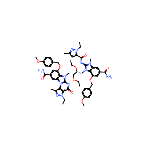 CCO[C@H](Cn1/c(=N/C(=O)c2cc(C)nn2CC)n(C)c2cc(C(N)=O)cc(OCc3ccc(OC)cc3)c21)[C@@H](Cn1c2c(OCc3ccc(OC)cc3)cc(C(N)=O)cc2n2c3c(C)nn(CC)c3c(=O)nc12)OCC